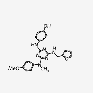 COc1ccc(N(C)c2nc(NCc3ccco3)nc(Nc3ccc(O)cc3)n2)cc1